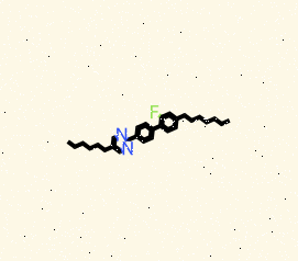 CCCCCCCc1ccc(-c2ccc(-c3ncc(CCCCCC)cn3)cc2)c(F)c1